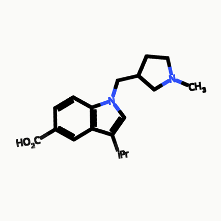 CC(C)c1cn(CC2CCN(C)C2)c2ccc(C(=O)O)cc12